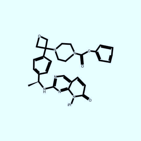 CC(C)n1c(=O)ccc2cnc(N[C@@H](C)c3ccc(C4(N5CCN(C(=O)Oc6ccccc6)CC5)COC4)cc3)nc21